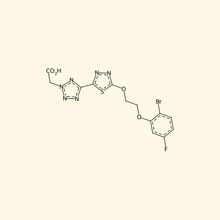 O=C(O)Cn1nnc(-c2nnc(OCCOc3cc(F)ccc3Br)s2)n1